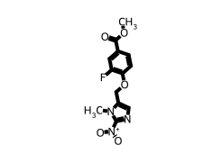 COC(=O)c1ccc(OCc2cnc([N+](=O)[O-])n2C)c(F)c1